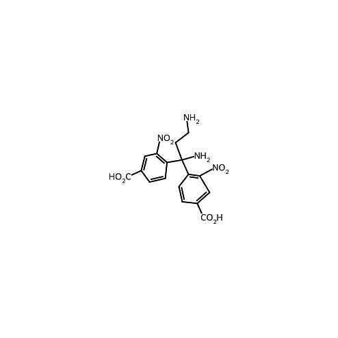 NCCC(N)(c1ccc(C(=O)O)cc1[N+](=O)[O-])c1ccc(C(=O)O)cc1[N+](=O)[O-]